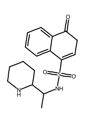 CC(NS(=O)(=O)C1=CCC(=O)c2ccccc21)C1CCCCN1